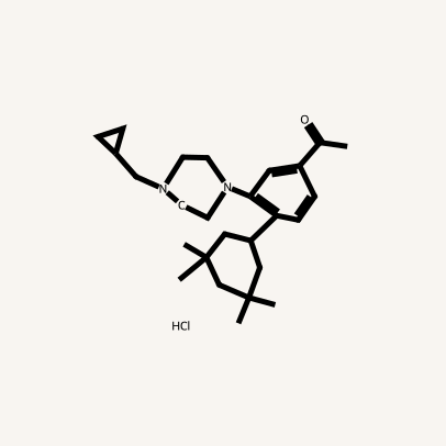 CC(=O)c1ccc(C2CC(C)(C)CC(C)(C)C2)c(N2CCN(CC3CC3)CC2)c1.Cl